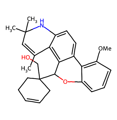 COc1cccc2c1-c1ccc3c(c1C(C1(CO)CC=CCC1)O2)C(C)=CC(C)(C)N3